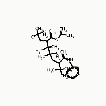 C=C(Nc1ccccc1)C(CC(C)(C)C(C)(C)C(CC(C)(C)C)C(=C)NC(C)C)C(C)(C)C